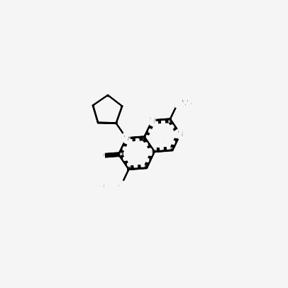 CCOC(=O)c1cc2cnc(SC)nc2n(C2CCCC2)c1=O